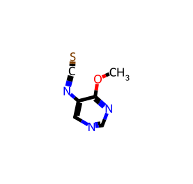 COc1ncncc1N=C=S